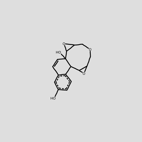 Oc1ccc2c(c1)C=CC1(O)C3OC3COCC3OC3C21